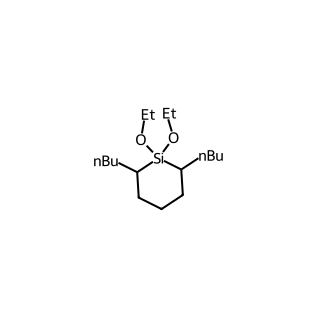 CCCCC1CCCC(CCCC)[Si]1(OCC)OCC